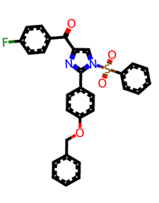 O=C(c1ccc(F)cc1)c1cn(S(=O)(=O)c2ccccc2)c(-c2ccc(OCc3ccccc3)cc2)n1